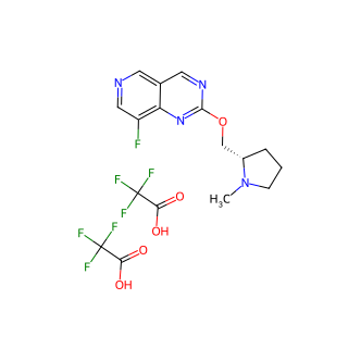 CN1CCC[C@H]1COc1ncc2cncc(F)c2n1.O=C(O)C(F)(F)F.O=C(O)C(F)(F)F